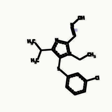 CCn1c(/C=N/O)nc(C(C)C)c1Sc1cccc(Cl)c1